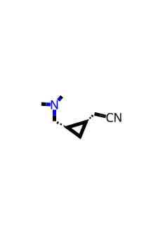 CN(C)C[C@H]1C[C@H]1CC#N